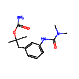 CN(C)C(=O)Nc1cccc(CC(C)(C)OC(N)=O)c1